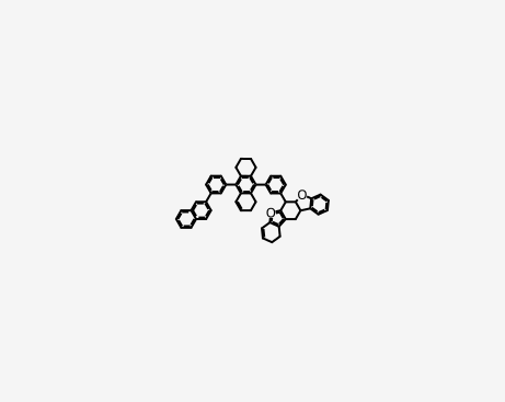 C1=Cc2oc3c(c2CC1)CC1c2ccccc2OC1C3c1cccc(-c2c3c(c(-c4cccc(-c5ccc6ccccc6c5)c4)c4c2CCCC4)C=CCC3)c1